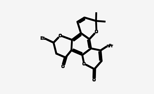 CCCc1cc(=O)oc2c3c(c4c(c12)OC(C)(C)C=C4)OC(CC)CC3=O